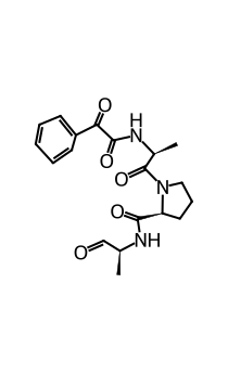 C[C@H](NC(=O)C(=O)c1ccccc1)C(=O)N1CCC[C@H]1C(=O)N[C@@H](C)C=O